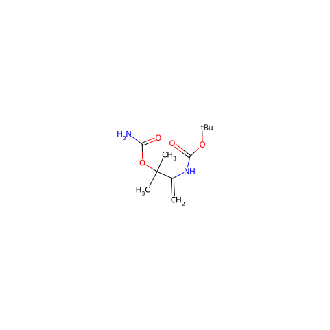 C=C(NC(=O)OC(C)(C)C)C(C)(C)OC(N)=O